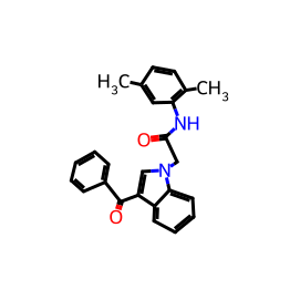 Cc1ccc(C)c(NC(=O)Cn2cc(C(=O)c3ccccc3)c3ccccc32)c1